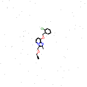 C#CCOCc1c(C)nc2c(OCc3ccccc3Cl)cccn12